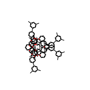 Cc1cc(C)cc(-c2ccc3c4ccc(-c5cc(C)cc(C)c5)cc4n(-c4cccc(-n5c6cc(-c7cc(C)cc(C)c7)ccc6c6ccc(-c7cc(C)cc(C)c7)cc65)c4-c4nc(-c5ccccc5)nc(-c5c(-n6c7cc(-c8cc(C)cc(C)c8)ccc7c7ccc(-c8cc(C)cc(C)c8)cc76)cccc5-n5c6cc(-c7cc(C)cc(C)c7)ccc6c6ccc(-c7cc(C)cc(C)c7)cc65)n4)c3c2)c1